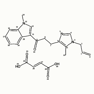 C=CCn1cnc(CCC(=O)c2cn(C)c3ccccc23)c1C.O=C(O)C=CC(=O)O